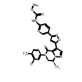 C[C@H]1CN(c2ccc(C(F)(F)F)c(Cl)c2)C(=O)c2c(-c3cc(-c4ccc(NC(=O)OC(C)(C)C)nc4)no3)cnn21